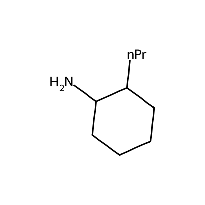 CCCC1CCCCC1N